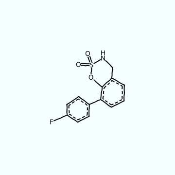 O=S1(=O)NCc2cccc(-c3ccc(F)cc3)c2O1